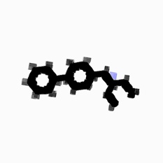 C=C/C(C=S)=C\c1ccc(-c2ccccc2)cc1